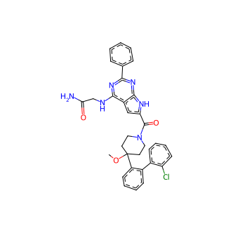 COC1(c2ccccc2-c2ccccc2Cl)CCN(C(=O)c2cc3c(NCC(N)=O)nc(-c4ccccc4)nc3[nH]2)CC1